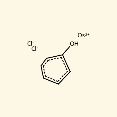 Oc1ccccc1.[Cl-].[Cl-].[Os+2]